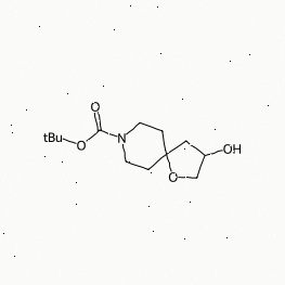 CC(C)(C)OC(=O)N1CCC2(CC1)CC(O)CO2